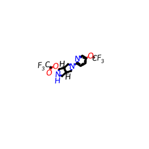 O=C(OC1NC[C@H]2CN(c3ccc(OC(F)(F)F)cn3)C[C@@H]12)C(F)(F)F